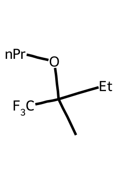 CCCOC(C)(CC)C(F)(F)F